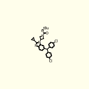 CC(C)(C)OC(=O)N1CC(n2c(C3CC3)nc3ccc(C(c4ccc(Cl)cc4)c4ccc(Cl)cc4)cc32)C1